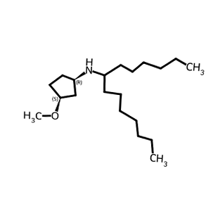 CCCCCCCC(CCCCCC)N[C@@H]1CC[C@H](OC)C1